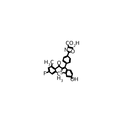 Cc1cc(F)cc(C)c1C(=O)c1sc2cc(O)ccc2c1-c1ccc(-c2nc(C(=O)O)co2)cc1